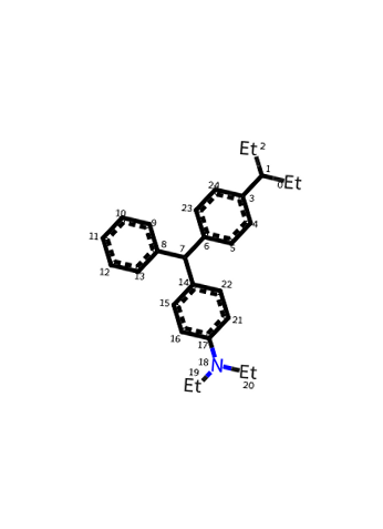 CCC(CC)c1ccc(C(c2ccccc2)c2ccc(N(CC)CC)cc2)cc1